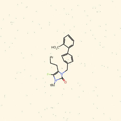 CC(C)CCc1c(F)n(C(C)(C)C)c(=O)n1Cc1ccc(-c2ccccc2C(=O)O)cc1